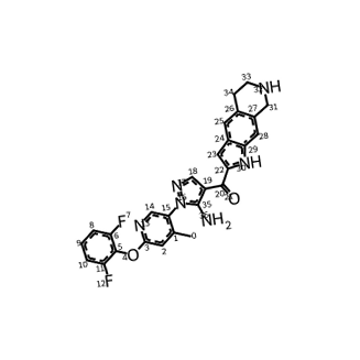 Cc1cc(Oc2c(F)cccc2F)ncc1-n1ncc(C(=O)c2cc3cc4c(cc3[nH]2)CNCC4)c1N